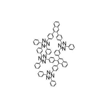 c1ccc(-c2nc(-c3ccccc3)nc(-c3ccc(-c4cc5ccccc5cc4-c4ccc(-c5nc(-c6ccccc6)nc(-c6cccc(-c7cc8ccccc8c(-c8ccc(-c9nc(-c%10ccccc%10)nc(-c%10ccccc%10)n9)cc8)c7-c7ccc(-c8nc(-c9ccccc9)nc(-c9ccccc9)n8)cc7)c6)n5)cc4)cc3)n2)cc1